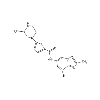 Cc1cn2cc(NC(=O)c3ccc(N4CCNC(C)C4)s3)cc(F)c2n1